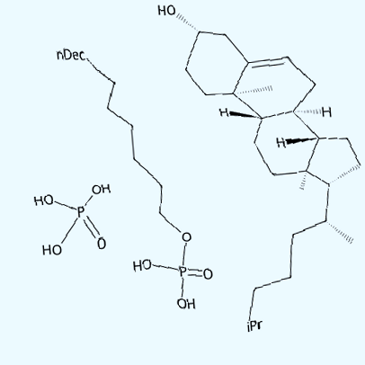 CC(C)CCC[C@@H](C)[C@H]1CC[C@H]2[C@@H]3CC=C4C[C@@H](O)CC[C@]4(C)[C@H]3CC[C@]12C.CCCCCCCCCCCCCCCCOP(=O)(O)O.O=P(O)(O)O